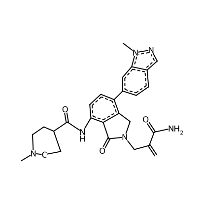 C=C(CN1Cc2c(-c3ccc4cnn(C)c4c3)ccc(NC(=O)C3CCN(C)CC3)c2C1=O)C(N)=O